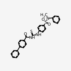 CN(c1ccccc1)S(=O)(=O)c1ccc(NC(=S)NC(=O)c2ccc(-c3ccccc3)cc2)cc1